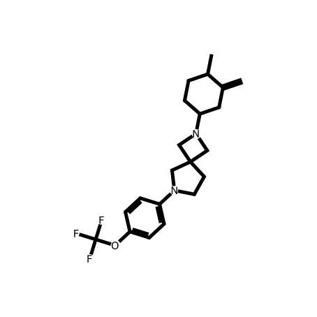 C=C1CC(N2CC3(CCN(c4ccc(OC(F)(F)F)cc4)C3)C2)CCC1C